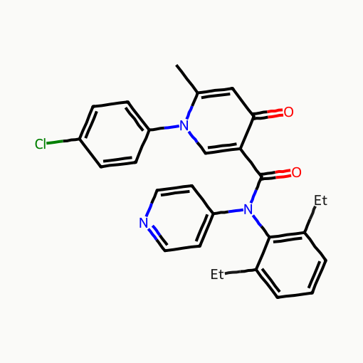 CCc1cccc(CC)c1N(C(=O)c1cn(-c2ccc(Cl)cc2)c(C)cc1=O)c1ccncc1